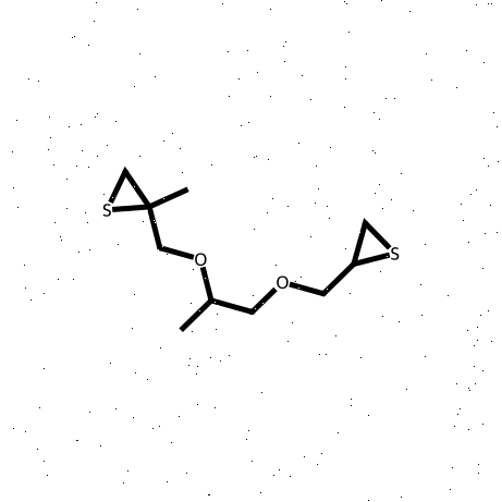 CC(COCC1CS1)OCC1(C)CS1